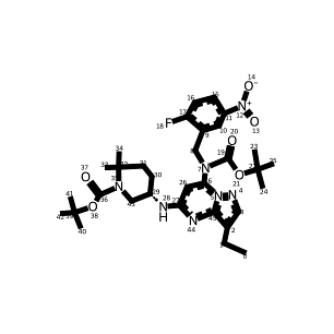 CCc1cnn2c(N(Cc3cc([N+](=O)[O-])ccc3F)C(=O)OC(C)(C)C)cc(N[C@H]3CCC(C)(C)N(C(=O)OC(C)(C)C)C3)nc12